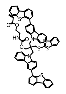 C=CC(=O)OCCNC(=O)OCC(CSc1nc2ccccc2s1)(Cn1c2ccccc2c2cc(-c3cccc4c3sc3ccccc34)ccc21)Cn1c2ccccc2c2cc(-c3cccc4c3sc3ccccc34)ccc21